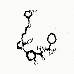 O=C(NC(O)C1CCCCCC1)c1cc(-n2ccn(CCCOC3CCNC3)c2=O)ccc1Cl